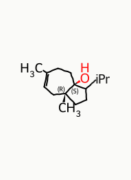 CC1=CC[C@@]2(C)CCC(C(C)C)[C@@]2(O)CC1